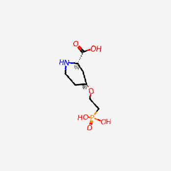 O=C(O)[C@@H]1C[C@H](OCCP(=O)(O)O)CCN1